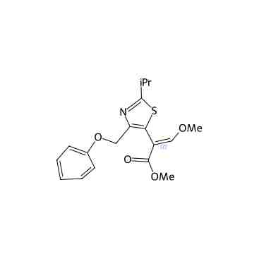 CO/C=C(/C(=O)OC)c1sc(C(C)C)nc1COc1ccccc1